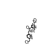 O=C(NCc1ccc(CCl)nn1)c1cn(C2COC2)nn1